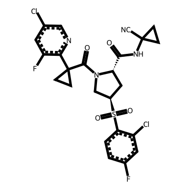 N#CC1(NC(=O)[C@@H]2C[C@@H](S(=O)(=O)c3ccc(F)cc3Cl)CN2C(=O)C2(c3ncc(Cl)cc3F)CC2)CC1